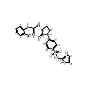 O=C(Nc1ccccc1Cl)O[C@@H]1CCN(c2ccc(S(=O)(=O)Nc3nccs3)cc2)C1=O